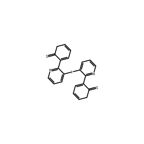 S=C1CC=CC=C1c1nccc[c]1[Ir][c]1cccnc1C1=CC=CCC1=S